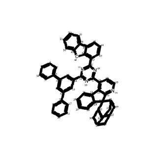 c1ccc(-c2cc(-c3ccccc3)cc(-c3nc(-c4ccnc5c4-c4ccccc4C54C5CC6CC(C5)CC4C6)nc(-c4cccc5c4oc4ccccc45)n3)c2)cc1